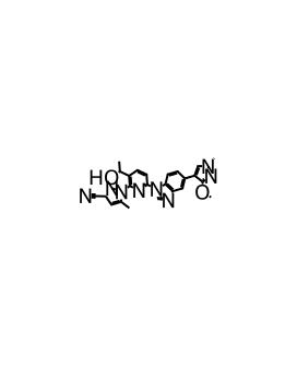 COc1nn(C)cc1-c1ccc2c(c1)ncn2-c1ccc(C(C)O)c(-n2nc(C#N)cc2C)n1